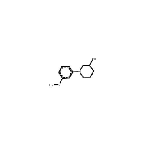 OC1CCCN(c2cccc(OC(F)(F)F)c2)C1